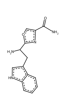 NC(=O)c1coc(C(N)Cc2c[nH]c3ccccc23)n1